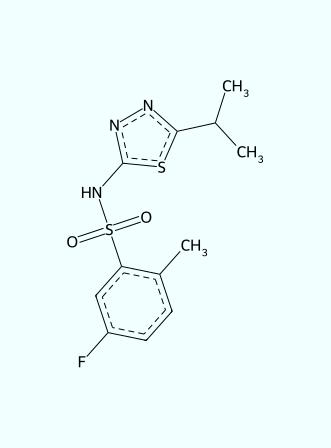 Cc1ccc(F)cc1S(=O)(=O)Nc1nnc(C(C)C)s1